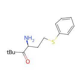 CC(C)(C)C(=O)[C@@H](N)CCSc1ccccc1